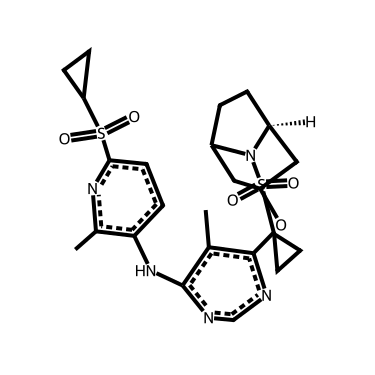 Cc1nc(S(=O)(=O)C2CC2)ccc1Nc1ncnc(OC2CC3CC[C@@H](C2)N3S(=O)(=O)C2CC2)c1C